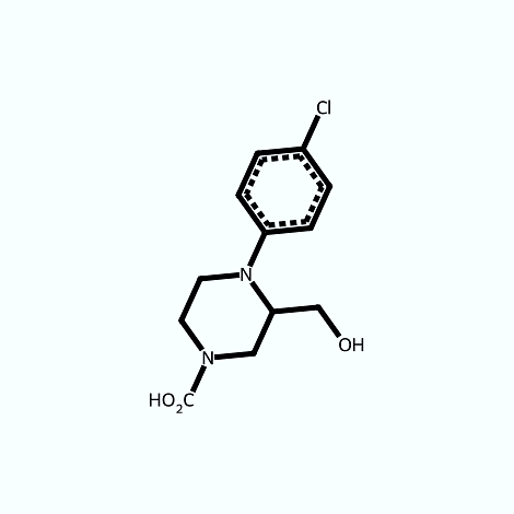 O=C(O)N1CCN(c2ccc(Cl)cc2)C(CO)C1